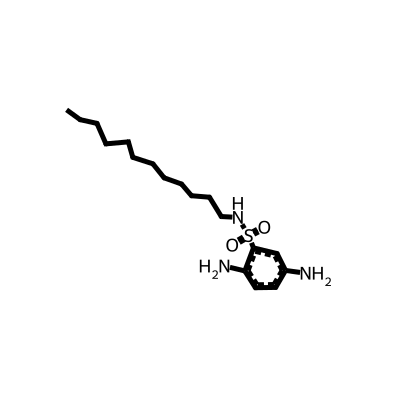 CCCCCCCCCCCCNS(=O)(=O)c1cc(N)ccc1N